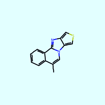 Cc1cn2c3cscc3nc2c2ccccc12